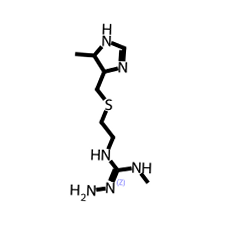 CN/C(=N/N)NCCSCC1N=CNC1C